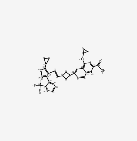 O=C(O)c1cc(OC2CC2)c2cc(N3CC(C=Cc4c(-c5cccnc5C(F)(F)F)noc4C4CC4)C3)ccc2n1